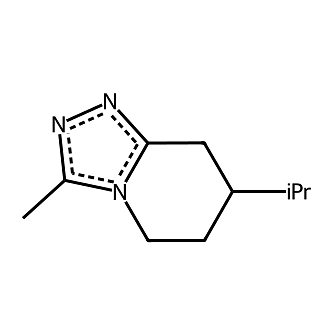 Cc1nnc2n1CCC(C(C)C)C2